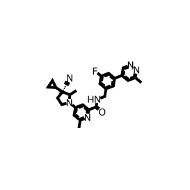 Cc1cc(-c2cc(F)cc(CNC(=O)c3cc(N4CC[C@@](C#N)(C5CC5)C4C)cc(C)n3)c2)cnn1